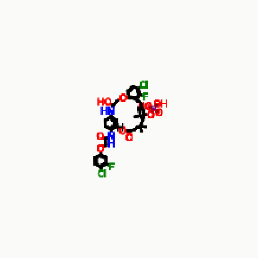 Cc1cc2cc(OP(=O)(O)O)c1C(C)(C)CC(=O)O[C@H]1CC3(CCC1(NC(=O)COc1ccc(Cl)c(F)c1)CC3)NC(O)COc1ccc(Cl)c(F)c1-2